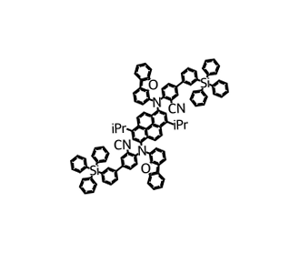 CC(C)c1cc(N(c2ccc(-c3cccc([Si](c4ccccc4)(c4ccccc4)c4ccccc4)c3)cc2C#N)c2cccc3c2oc2ccccc23)c2ccc3c(C(C)C)cc(N(c4ccc(-c5cccc([Si](c6ccccc6)(c6ccccc6)c6ccccc6)c5)cc4C#N)c4cccc5c4oc4ccccc45)c4ccc1c2c34